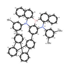 CC(C)(C)c1cc(N2c3cc(-c4ccc5c(c4)C4(c6ccccc6-c6ccccc64)c4ccccc4-5)cc4c3B(c3ccc5ccccc5c32)c2ccc3ccccc3c2N4c2cc(C(C)(C)C)cc(C(C)(C)C)c2)cc(C(C)(C)C)c1